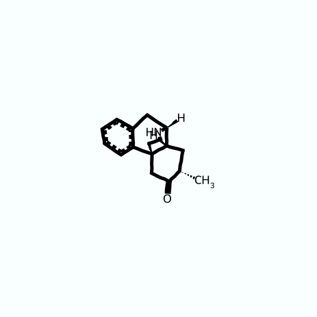 C[C@H]1C[C@H]2[C@H]3Cc4ccccc4[C@@]2(CCN3)CC1=O